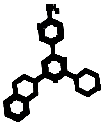 Nc1ccc(-c2cc(C3CCc4ccccc4C3)nc(N3CCOCC3)n2)cn1